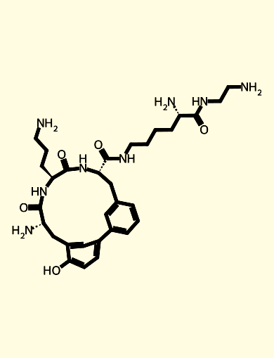 NCCC[C@@H]1NC(=O)[C@@H](N)Cc2cc(ccc2O)-c2cccc(c2)C[C@@H](C(=O)NCCCC[C@H](N)C(=O)NCCN)NC1=O